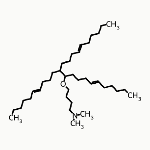 CCCCCC=CCCCC(CCCC=CCCCCC)C(CCCC=CCCCCC)OCCCCN(C)C